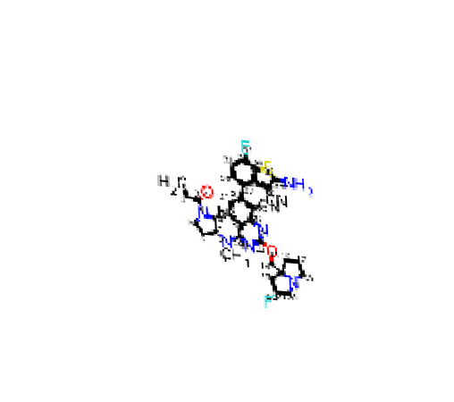 C=CC(=O)N1CC[C@@H](N(C)c2nc(OC[C@@]34CCCN3C[C@H](F)C4)nc3c(C#N)c(-c4ccc(F)c5sc(N)c(C#N)c45)ccc23)[C@H]1CC